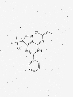 C/C=C(Cl)\N=C(\NCc1ccccc1)c1ncn(C(C)(C)CC)c1N